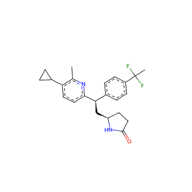 Cc1nc([C@H](C[C@H]2CCC(=O)N2)c2ccc(C(C)(F)F)cc2)ccc1C1CC1